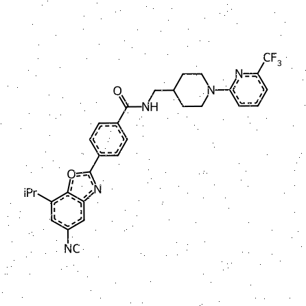 [C-]#[N+]c1cc(C(C)C)c2oc(-c3ccc(C(=O)NCC4CCN(c5cccc(C(F)(F)F)n5)CC4)cc3)nc2c1